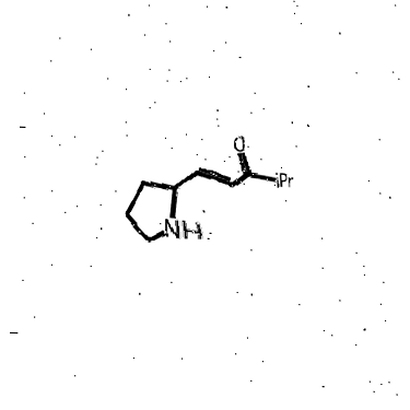 CC(C)C(=O)/C=C/C1CCCN1